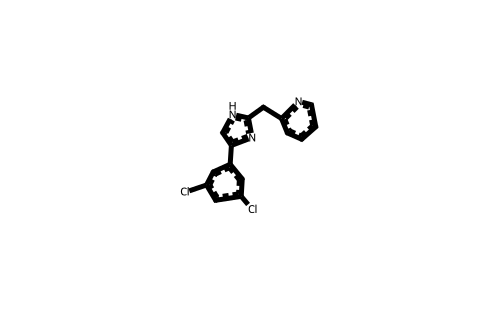 Clc1cc(Cl)cc(-c2c[nH]c(Cc3ccccn3)n2)c1